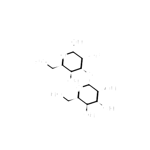 OC[C@H]1O[C@H](O[C@@H]2[C@@H](O)[C@@H](O)O[C@H](CO)[C@@H]2O)[C@H](O)[C@@H](O)[C@H]1O